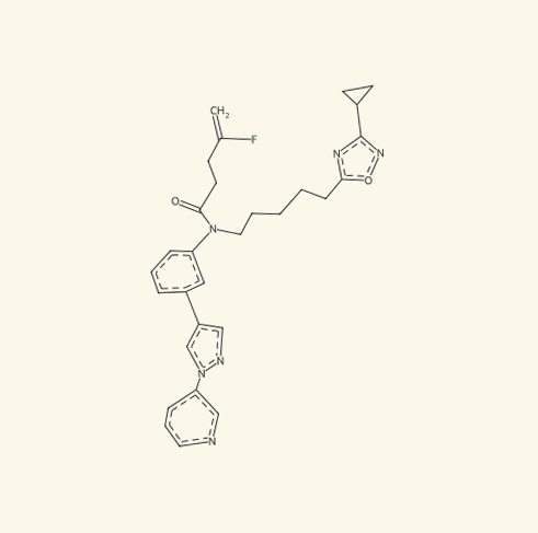 C=C(F)CCC(=O)N(CCCCCc1nc(C2CC2)no1)c1cccc(-c2cnn(-c3cccnc3)c2)c1